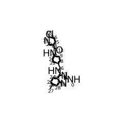 CNc1nc(NCc2ccc(NC(=O)c3ccc(Cl)nc3)cc2)c2ccc(C)cc2n1